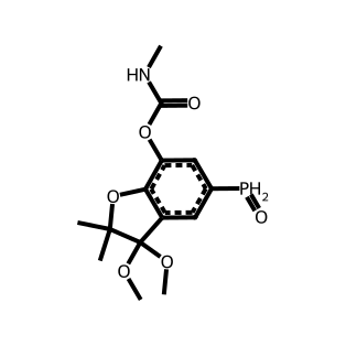 CNC(=O)Oc1cc([PH2]=O)cc2c1OC(C)(C)C2(OC)OC